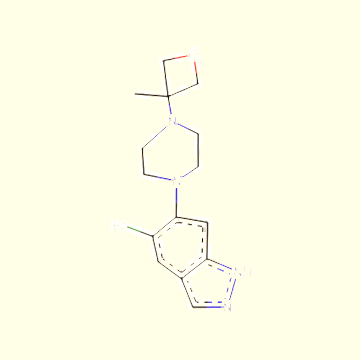 CC1(N2CCN(c3cc4[nH]ncc4cc3Br)CC2)COC1